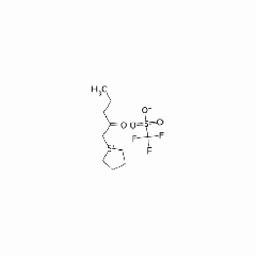 CCCC(=O)C[S+]1CCCC1.O=S(=O)([O-])C(F)(F)F